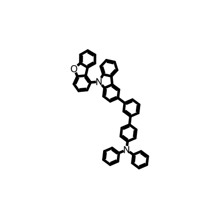 c1ccc(N(c2ccccc2)c2ccc(-c3cccc(-c4ccc5c(c4)c4ccccc4n5-c4cccc5oc6ccccc6c45)c3)cc2)cc1